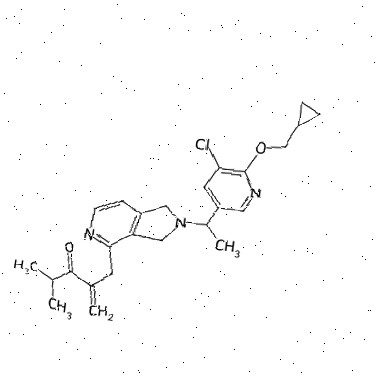 C=C(Cc1nccc2c1CN(C(C)c1cnc(OCC3CC3)c(Cl)c1)C2)C(=O)C(C)C